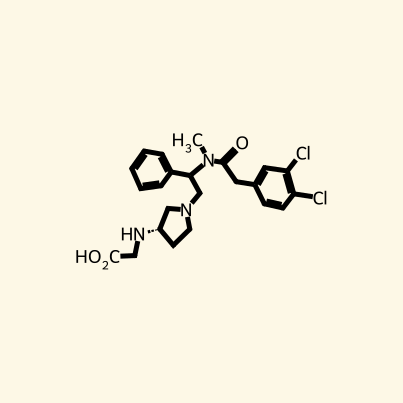 CN(C(=O)Cc1ccc(Cl)c(Cl)c1)C(CN1CC[C@H](NCC(=O)O)C1)c1ccccc1